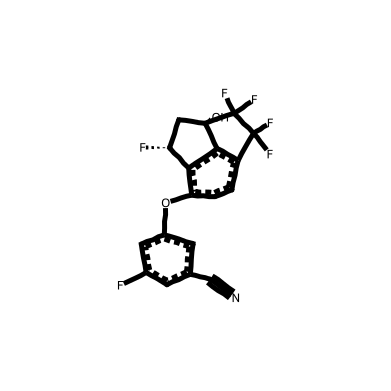 N#Cc1cc(F)cc(Oc2ccc3c4c2[C@H](F)C[C@]4(O)C(F)(F)C3(F)F)c1